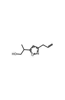 C=CCc1cc(C(C)CO)on1